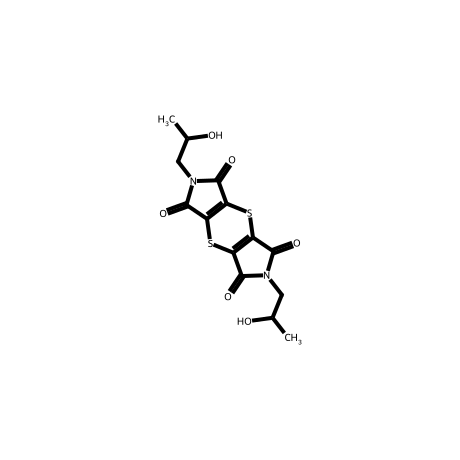 CC(O)Cn1c(=O)c2sc3c(=O)n(CC(C)O)c(=O)c3sc2c1=O